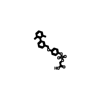 Cc1cccc(C)c1-c1cccc(COc2ccc(OS(=O)(=O)OCC(=O)O)cc2)c1